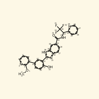 COc1ncccc1-c1ccc(O)c(-c2nc3ccc(C(=O)NC(c4ccccn4)C(F)(F)F)cc3[nH]2)c1